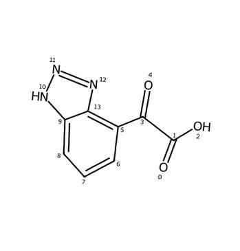 O=C(O)C(=O)c1cccc2[nH]nnc12